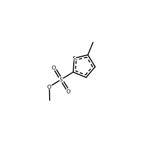 COS(=O)(=O)c1ccc(C)s1